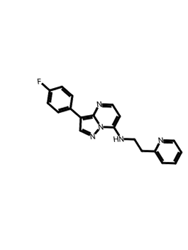 Fc1ccc(-c2cnn3c(NCCc4ccccn4)ccnc23)cc1